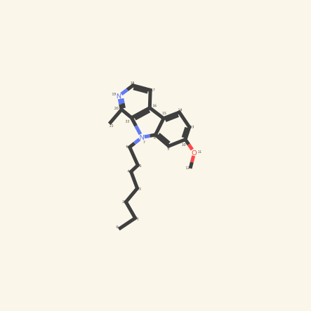 CCCCCCCn1c2cc(OC)ccc2c2ccnc(C)c21